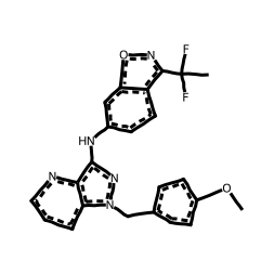 COc1ccc(Cn2nc(Nc3ccc4c(C(C)(F)F)noc4c3)c3ncccc32)cc1